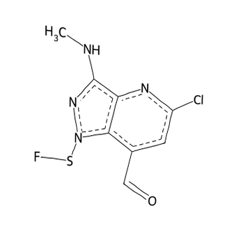 CNc1nn(SF)c2c(C=O)cc(Cl)nc12